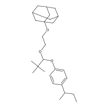 CCC(C)c1ccc(OC(OCCOC23CC4CC(CC(C4)C2)C3)C(C)(C)C)cc1